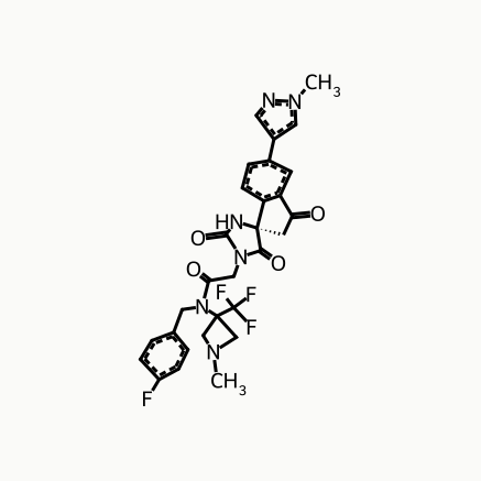 CN1CC(N(Cc2ccc(F)cc2)C(=O)CN2C(=O)N[C@]3(CC(=O)c4cc(-c5cnn(C)c5)ccc43)C2=O)(C(F)(F)F)C1